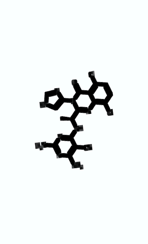 C[C@H](Nc1nc(N)nc(N)c1C#N)c1nc2c(Cl)ccc(Cl)c2c(=O)n1-c1c[nH]cn1